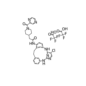 O=C(CC1CCN(C(=O)c2cnccn2)CC1)Nc1ccc2cc1CCc1cccc(c1)Nc1ncc(Cl)c(n1)N2.O=C(O)C(F)(F)F.O=C(O)C(F)(F)F